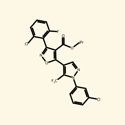 CC(C)OC(=O)c1c(-c2c(F)cccc2Cl)noc1-c1cnn(-c2cccc(Cl)c2)c1C(F)(F)F